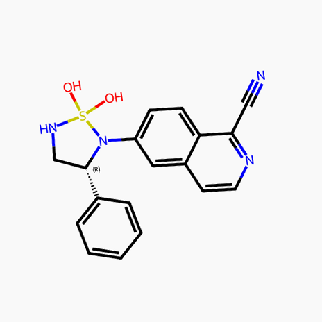 N#Cc1nccc2cc(N3[C@H](c4ccccc4)CNS3(O)O)ccc12